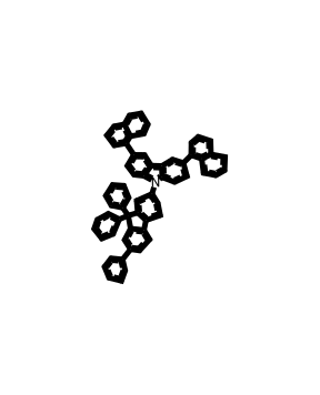 c1ccc(-c2ccc3c(c2)C(c2ccccc2)(c2ccccc2)c2cc(-n4c5ccc(-c6cccc7ccccc67)cc5c5cc(-c6cccc7ccccc67)ccc54)ccc2-3)cc1